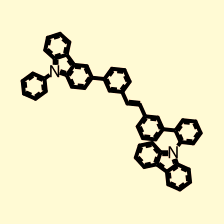 C(=C\c1cccc(-c2ccccc2-n2c3ccccc3c3ccccc32)c1)/c1cccc(-c2ccc3c(c2)c2ccccc2n3-c2ccccc2)c1